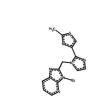 CCn1c(Cn2ccnc2-c2csc(C)n2)nc2cccnc21